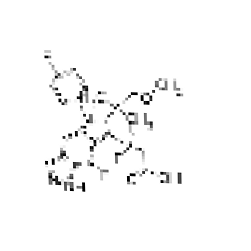 COCC(C)(C)c1c(C(F)(F)CC(=O)O)c2c(F)c3[nH]ncc3cc2n1-c1ccc(F)cc1